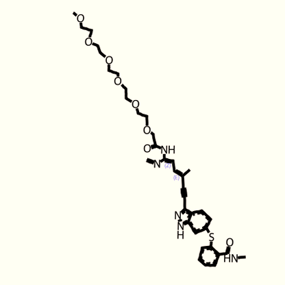 C=N/C(=C\C=C(/C)C#Cc1n[nH]c2cc(Sc3ccccc3C(=O)NC)ccc12)NC(=O)COCCOCCOCCOCCOCCOC